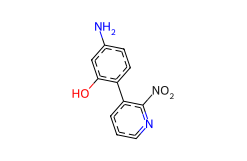 Nc1ccc(-c2cccnc2[N+](=O)[O-])c(O)c1